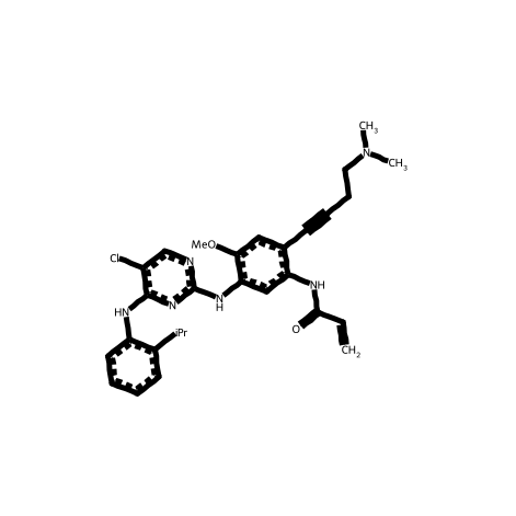 C=CC(=O)Nc1cc(Nc2ncc(Cl)c(Nc3ccccc3C(C)C)n2)c(OC)cc1C#CCCN(C)C